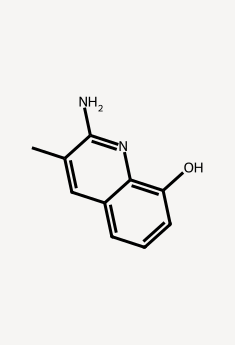 Cc1cc2cccc(O)c2nc1N